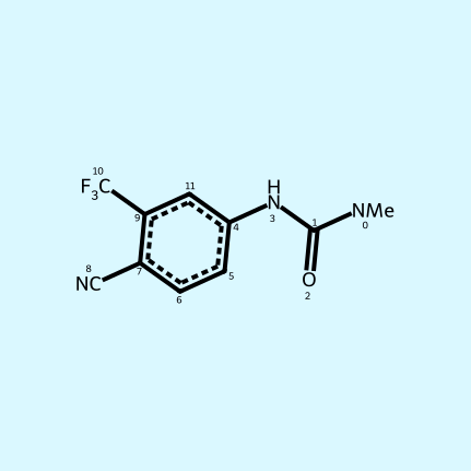 CNC(=O)Nc1ccc(C#N)c(C(F)(F)F)c1